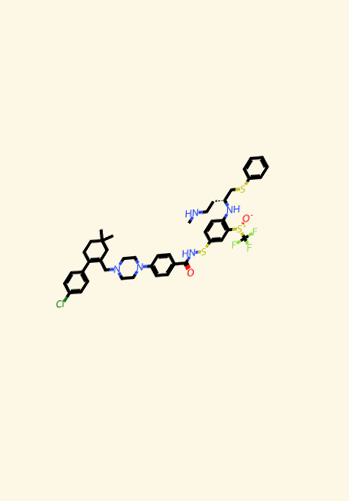 CNCC[C@H](CSc1ccccc1)Nc1ccc(SNC(=O)c2ccc(N3CCN(CC4=C(c5ccc(Cl)cc5)CCC(C)(C)C4)CC3)cc2)cc1[S+]([O-])C(F)(F)F